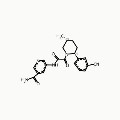 C[C@@H]1CC[C@@H](c2cccc(C#N)c2)N(C(=O)C(=O)Nc2cncc(C(N)=O)c2)C1